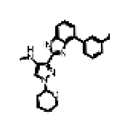 CNc1cn(C2CCCCO2)nc1-c1nc2c(-c3cccc(F)c3)cccc2[nH]1